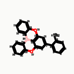 CC(C)(C)c1ccccc1-c1cc2c3c(c1)Oc1ccccc1B3c1ccccc1O2